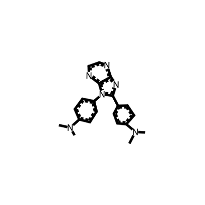 CN(C)c1ccc(-c2nc3nccnc3n2-c2ccc(N(C)C)cc2)cc1